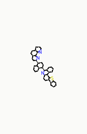 c1cnc2c(c1)ccc1ccc(-c3ccc(-c4nc5ccc6c7ccccc7sc6c5c5ccccc45)c4ccccc34)nc12